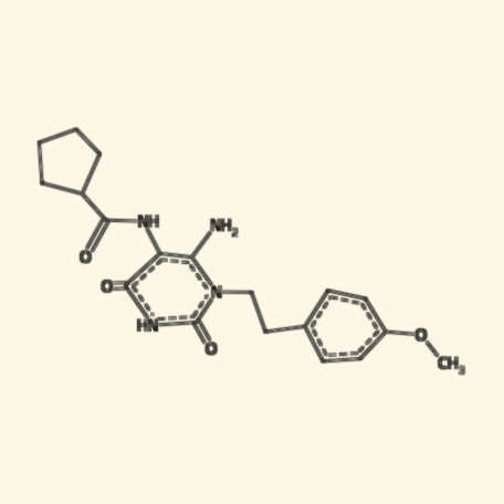 COc1ccc(CCn2c(N)c(NC(=O)C3CCCC3)c(=O)[nH]c2=O)cc1